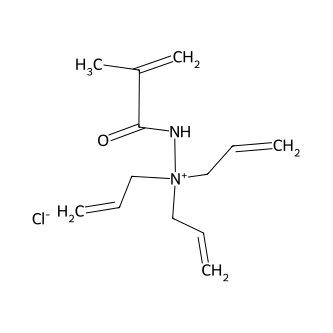 C=CC[N+](CC=C)(CC=C)NC(=O)C(=C)C.[Cl-]